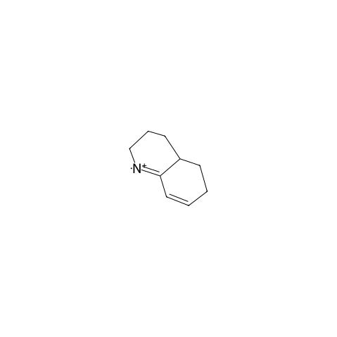 C1=CC2=[N+]CCCC2CC1